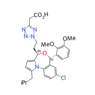 COc1cccc([C@H]2O[C@H](CCn3nnc(CC(=O)O)n3)c3ccc(CC(C)C)n3-c3ccc(Cl)cc32)c1OC